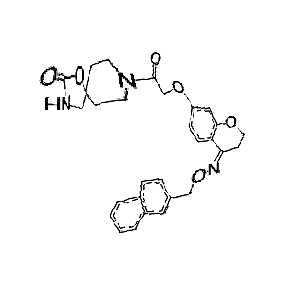 O=C1NCC2(CCN(C(=O)COc3ccc4c(c3)OCC/C4=N/OCc3ccc4ccccc4c3)CC2)O1